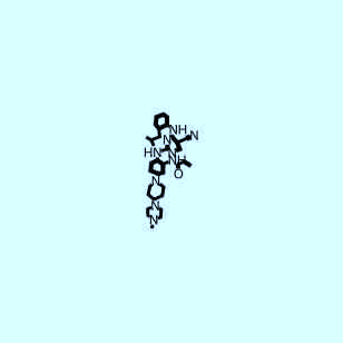 C=CC(=O)Nc1cc(N2CCC(N3CCN(C)CC3)CC2)ccc1Nc1ncc(C#N)c(Nc2ccccc2CC(C)C)n1